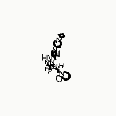 Cc1nn(C2CCN(C3CCC3)CC2)cc1Nc1ncc(C(F)(F)F)c(NCCCN2CCCCCC2=O)n1